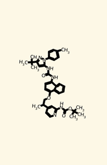 Cc1ccc(-n2nc(C(C)(C)C)cc2NC(=O)Nc2ccc(OCC(C)c3ccnc(NC(=O)OC(C)(C)C)c3)c3ccccc23)cc1